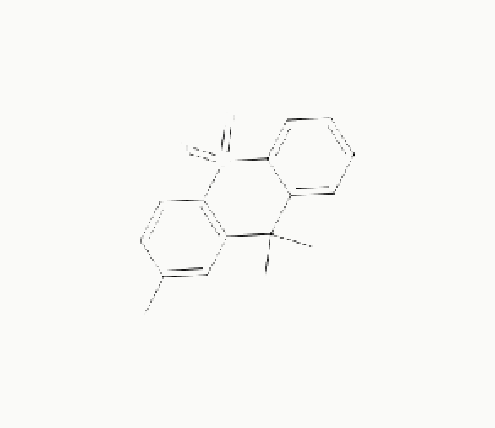 Cc1ccc2c(c1)C(C)(C)c1ccccc1S2(=O)=O